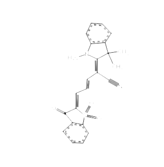 CN1C(=C(C#N)C=CC=C2C(=O)c3ccccc3S2(=O)=O)C(C)(C)c2ccccc21